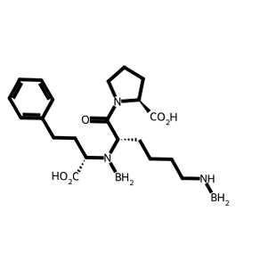 BNCCCC[C@@H](C(=O)N1CCC[C@H]1C(=O)O)N(B)[C@@H](CCc1ccccc1)C(=O)O